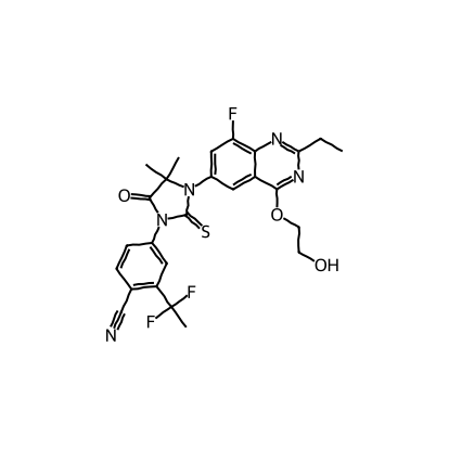 CCc1nc(OCCO)c2cc(N3C(=S)N(c4ccc(C#N)c(C(C)(F)F)c4)C(=O)C3(C)C)cc(F)c2n1